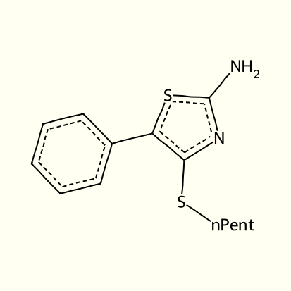 CCCCCSc1nc(N)sc1-c1ccccc1